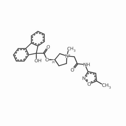 Cc1cc(NC(=O)C[N+]2(C)CC[C@@H](OC(=O)C3(O)c4ccccc4-c4ccccc43)C2)no1